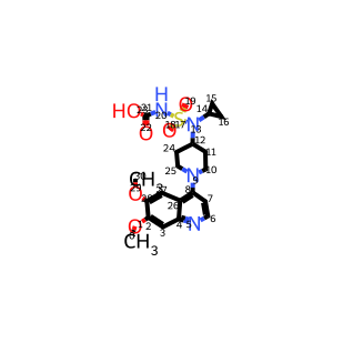 COc1cc2nccc(N3CCC(N(C4CC4)S(=O)(=O)NC(=O)O)CC3)c2cc1OC